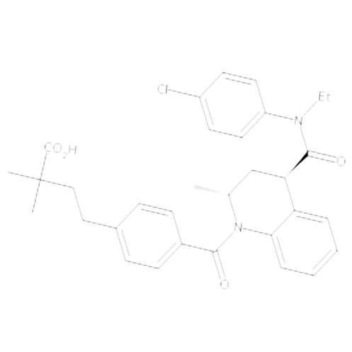 CCN(C(=O)[C@@H]1C[C@@H](C)N(C(=O)c2ccc(CCC(C)(C)C(=O)O)cc2)c2ccccc21)c1ccc(Cl)cc1